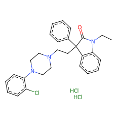 CCN1C(=O)C(CCN2CCN(c3ccccc3Cl)CC2)(c2ccccc2)c2ccccc21.Cl.Cl